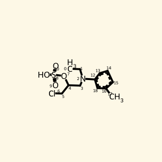 CCN(CC(CCl)OS(=O)(=O)O)c1cccc(C)c1